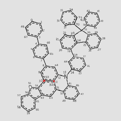 c1ccc(-c2ccc(-c3cccc(N(c4cccc(-c5cccc6c5-c5ccccc5C6(c5ccccc5)c5ccccc5)c4)c4ccccc4-c4ccc5oc6ccccc6c5c4)c3)cc2)cc1